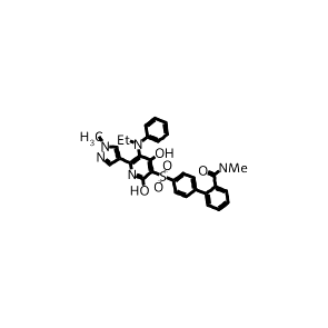 CCN(c1ccccc1)c1c(-c2cnn(C)c2)nc(O)c(S(=O)(=O)c2ccc(-c3ccccc3C(=O)NC)cc2)c1O